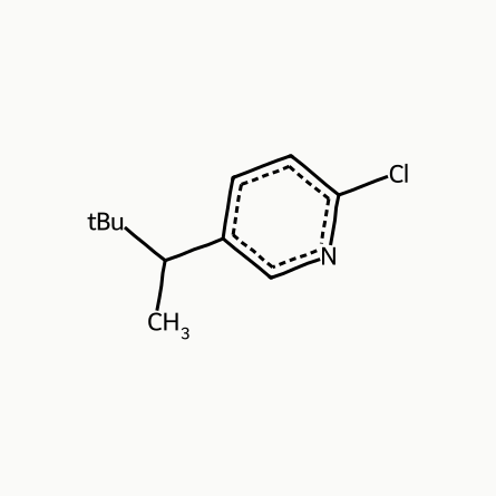 CC(c1ccc(Cl)nc1)C(C)(C)C